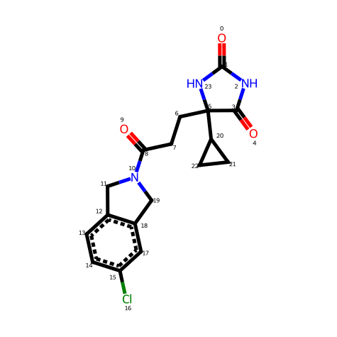 O=C1NC(=O)C(CCC(=O)N2Cc3ccc(Cl)cc3C2)(C2CC2)N1